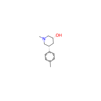 Cc1ccc([C@H]2C[C@@H](O)CN(C)C2)cc1